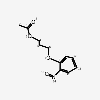 CC(=O)OCCCOc1ccccc1N=O